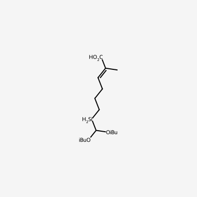 CC(=CCCC[SiH2]C(OCC(C)C)OCC(C)C)C(=O)O